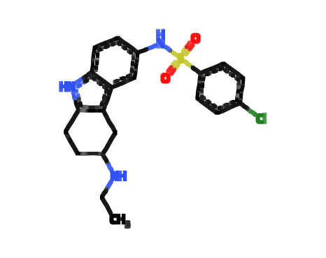 CCNC1CCc2[nH]c3ccc(NS(=O)(=O)c4ccc(Cl)cc4)cc3c2C1